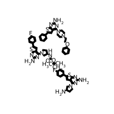 CC(C)(C)OC(=O)N[C@@H]1CCN(c2nc(N)nc3sc(-c4ccc(F)cc4)cc23)C1.Nc1nc(N2CCN(CCOc3ccccc3)CC2)c2cc(-c3ccccc3)sc2n1.Nc1nc(N2CC[C@@H](N)C2)c2cc(-c3ccc(F)cc3)sc2n1